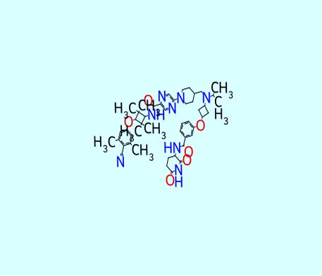 Cc1cc(OC2C(C)(C)C(NC(=O)c3cnc(N4CCC(CN(C(C)C)C5CC(Oc6cccc(C(=O)NC7CCC(=O)NC7=O)c6)C5)CC4)cn3)C2(C)C)cc(C)c1C#N